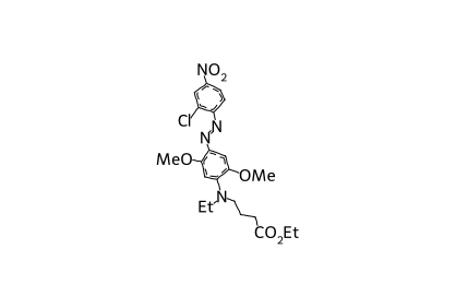 CCOC(=O)CCCN(CC)c1cc(OC)c(N=Nc2ccc([N+](=O)[O-])cc2Cl)cc1OC